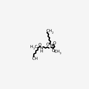 C#CCCCC[C@H](C)C(=O)NCCCC[C@H]1C(OC)=CC(=O)N1C(=O)CCCCCC=C